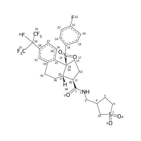 O=C(NCC1CCS(=O)(=O)C1)[C@@H]1CC[C@@]2(S(=O)(=O)c3ccc(F)cc3)c3ccc(C(F)(C(F)(F)F)C(F)(F)F)cc3CC[C@@H]12